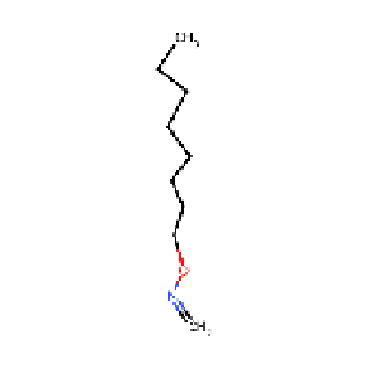 C=NOCCCCCCCC